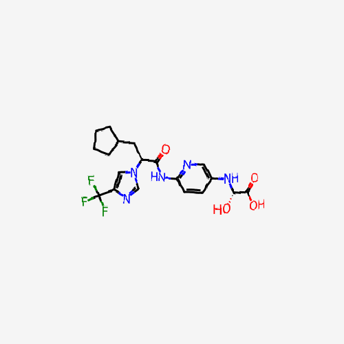 O=C(Nc1ccc(N[C@@H](O)C(=O)O)cn1)C(CC1CCCC1)n1cnc(C(F)(F)F)c1